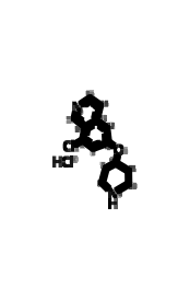 Cl.Clc1cc(OC2CCNCC2)cc2ccncc12